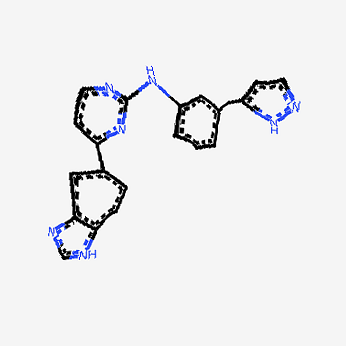 c1cc(Nc2nccc(-c3ccc4[nH]cnc4c3)n2)cc(-c2ccn[nH]2)c1